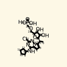 CC(c1ccc2c(NC3CCCC3)nc(Cl)nn12)[C@H]1OC(COCP(=O)(O)O)[C@@H](O)[C@H]1O